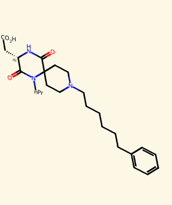 CCCN1C(=O)[C@H](CC(=O)O)NC(=O)C12CCN(CCCCCCc1ccccc1)CC2